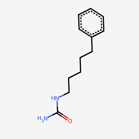 NC(=O)NCCCCCc1ccccc1